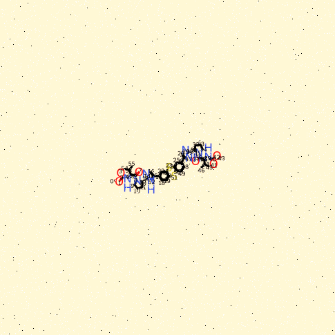 COC(=O)N[C@H](C(=O)N1CCC[C@H]1c1ncc(-c2ccc3c(c2)Sc2cc(-c4cnc([C@@H]5CCCN5C(=O)[C@@H](NC(=O)OC)C(C)C)[nH]4)ccc2S3)[nH]1)C(C)C